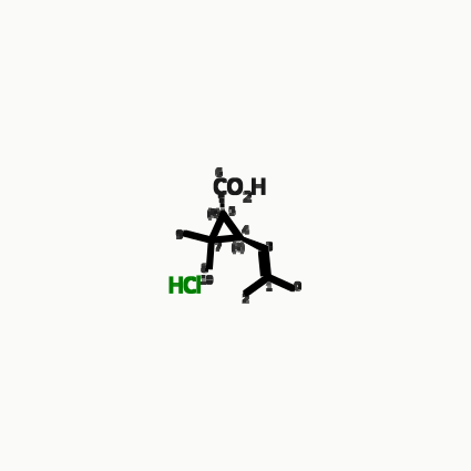 CC(C)=C[C@@H]1[C@@H](C(=O)O)C1(C)C.Cl